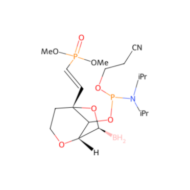 B[C@@H]1O[C@@]2(/C=C/P(=O)(OC)OC)CCO[C@@H]1C2OP(OCCC#N)N(C(C)C)C(C)C